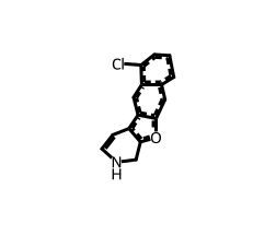 Clc1cccc2cc3oc4c(c3cc12)C=CNC4